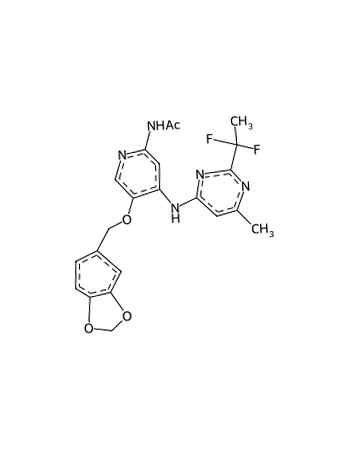 CC(=O)Nc1cc(Nc2cc(C)nc(C(C)(F)F)n2)c(OCc2ccc3c(c2)OCO3)cn1